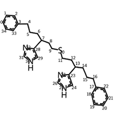 c1ccc(CCCC(CCSCCC(CCCc2ccccc2)c2c[nH]cn2)c2c[nH]cn2)cc1